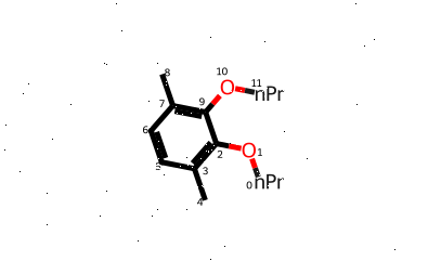 CCCOc1c(C)ccc(C)c1OCCC